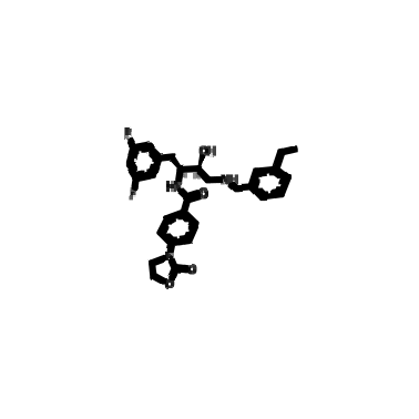 CCc1cccc(CNC[C@H](O)[C@H](Cc2cc(F)cc(F)c2)NC(=O)c2ccc(N3CCOC3=O)cc2)c1